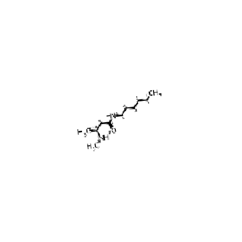 CCCCCCNC(=O)CC(C)NC